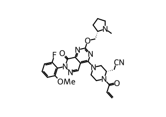 C=CC(=O)N1CCN(c2nc(OC[C@@H]3CCCN3C)nc3c(=O)n(-c4c(F)cccc4OC)ncc23)C[C@@H]1CC#N